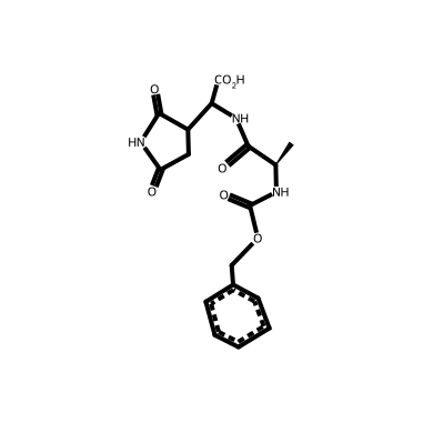 C[C@@H](NC(=O)OCc1ccccc1)C(=O)NC(C(=O)O)C1CC(=O)NC1=O